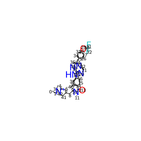 CC[N+]1(CC)CCC(CCN(C)C(=O)c2ccc(Nc3nccn4c(-c5ccc(OC(F)F)cc5)cnc34)cc2C)CC1